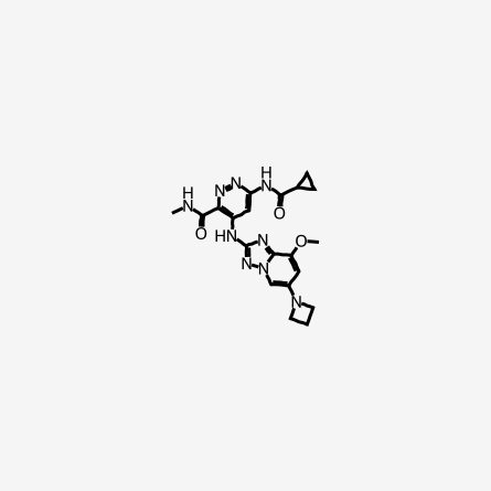 CNC(=O)c1nnc(NC(=O)C2CC2)cc1Nc1nc2c(OC)cc(N3CCC3)cn2n1